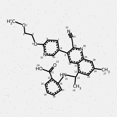 COCCOc1ccc(-c2cc3c(C(C)Nc4ccccc4C(=O)O)cc(C)cc3nc2C#N)cn1